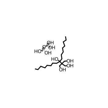 CCCCCCCCC(O)(CCCCCCCC)C(CO)(CO)CO.OP(O)OP(O)O